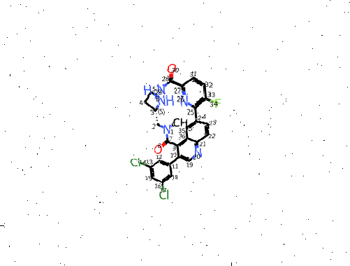 CN(C[C@@H]1CCN1)C(=O)c1c(-c2cc(Cl)cc(Cl)c2)cnc2ccc(-c3nc(C(N)=O)ccc3F)cc12